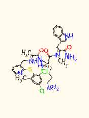 Cc1cc(Cl)cc(Cl)c1Sc1ncccc1CN[C@@H](C)C(=O)N[C@@H](CCCCN)C(=O)N(C)[C@@H](Cc1c[nH]c2ccccc12)C(N)=O